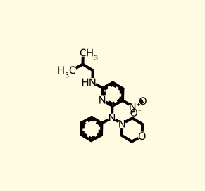 CC(C)CNc1ccc([N+](=O)[O-])c(N(c2ccccc2)N2CCOCC2)n1